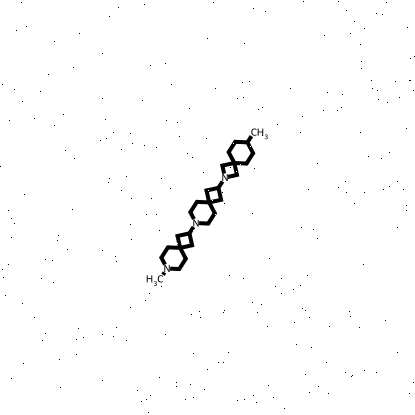 CC1CCC2(CC1)CN(C1CC3(CCN(C4CC5(CCN(C)CC5)C4)CC3)C1)C2